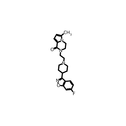 Cc1ccc2n1CCN(CCN1CCC(c3noc4cc(F)ccc34)CC1)C2=O